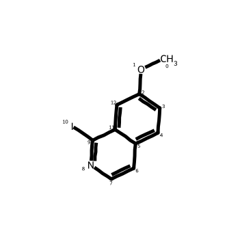 COc1ccc2ccnc(I)c2c1